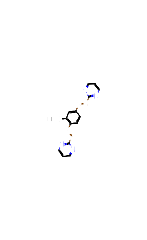 Cc1cc(SSc2ncccn2)ccc1SSc1ncccn1